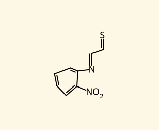 O=[N+]([O-])c1ccccc1N=CC=S